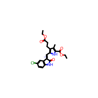 CCOC(=O)CCc1c(/C=C2\C(=O)Nc3ccc(Cl)cc32)[nH]c(C(=O)OCC)c1C